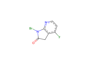 O=C1Cc2c(F)ccnc2N1Br